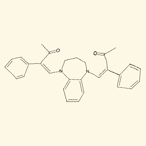 CC(=O)/C(=C\N1CCCN(/C=C(\C(C)=O)c2ccccc2)c2ccccc21)c1ccccc1